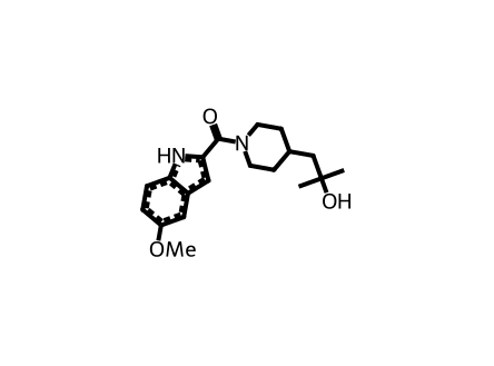 COc1ccc2[nH]c(C(=O)N3CCC(CC(C)(C)O)CC3)cc2c1